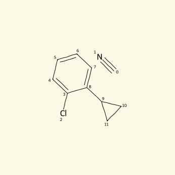 C#N.Clc1ccccc1C1CC1